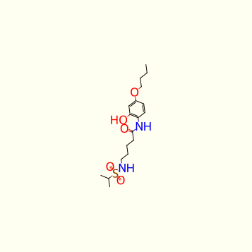 CCCCOc1ccc(NC(=O)CCCCNS(=O)(=O)C(C)C)c(O)c1